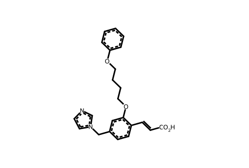 O=C(O)C=Cc1ccc(Cn2ccnc2)cc1OCCCCOc1ccccc1